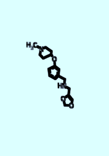 CN1CCC(Oc2cccc(CNCC3=COCO3)c2)CC1